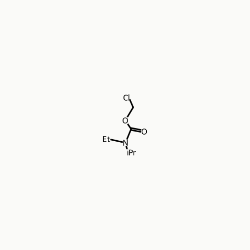 CCN(C(=O)OCCl)C(C)C